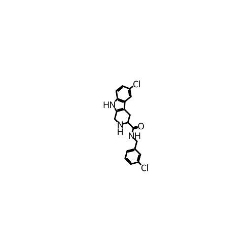 O=C(NCc1cccc(Cl)c1)C1Cc2c([nH]c3ccc(Cl)cc23)CN1